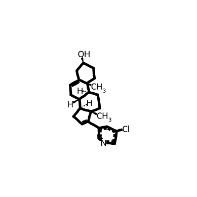 C[C@]12CC[C@H](O)CC1=CC[C@@H]1[C@@H]2CC[C@]2(C)C(c3cncc(Cl)c3)=CC[C@@H]12